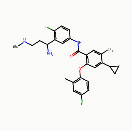 Cc1cc(F)ccc1Oc1cc(C2CC2)c(C(F)(F)F)cc1C(=O)Nc1ccc(F)c(C(N)CCNC(C)(C)C)c1